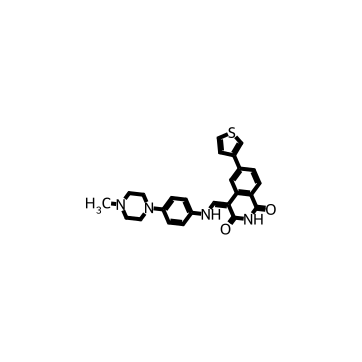 CN1CCN(c2ccc(NC=C3C(=O)NC(=O)c4ccc(-c5ccsc5)cc43)cc2)CC1